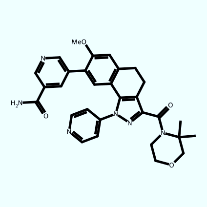 COc1cc2c(cc1-c1cncc(C(N)=O)c1)-c1c(c(C(=O)N3CCOCC3(C)C)nn1-c1ccncc1)CC2